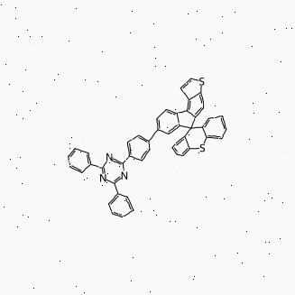 c1ccc(-c2nc(-c3ccccc3)nc(-c3ccc(-c4ccc5c(c4)C4(c6ccccc6Sc6ccccc64)c4ccc6sccc6c4-5)cc3)n2)cc1